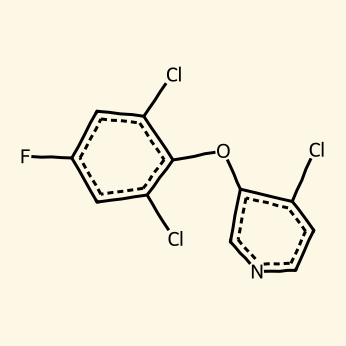 Fc1cc(Cl)c(Oc2cnccc2Cl)c(Cl)c1